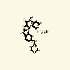 CN(C(=O)c1cn2c(nc3ccc(CN4CCOCC4)cc32)s1)c1ccccc1.Cl.Cl